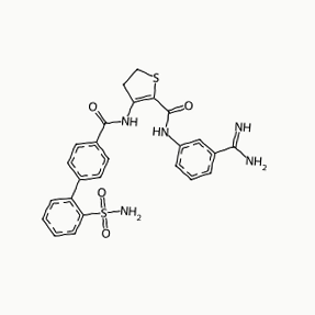 N=C(N)c1cccc(NC(=O)C2=C(NC(=O)c3ccc(-c4ccccc4S(N)(=O)=O)cc3)CCS2)c1